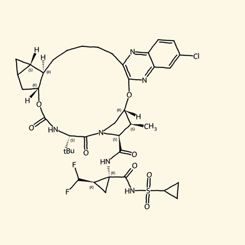 C[C@@H]1[C@@H]2CN(C(=O)[C@H](C(C)(C)C)NC(=O)O[C@@H]3CC4C[C@@H]4[C@H]3CCCCCc3nc4ccc(Cl)cc4nc3O2)[C@@H]1C(=O)N[C@]1(C(=O)NS(=O)(=O)C2CC2)C[C@H]1C(F)F